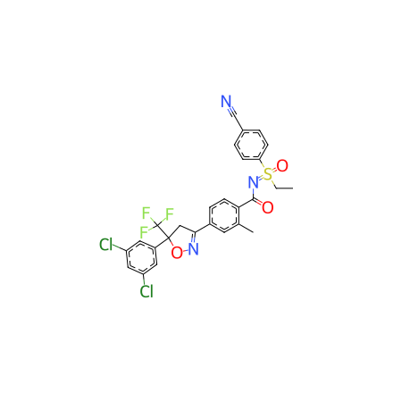 CCS(=O)(=NC(=O)c1ccc(C2=NOC(c3cc(Cl)cc(Cl)c3)(C(F)(F)F)C2)cc1C)c1ccc(C#N)cc1